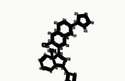 N[N+]12C=CN=CC1=C(C1=CC=C1)N=C2c1cc2nc(-c3cccs3)ccc2cc1Cl